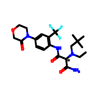 CCN(CC(C)(C)C)[C@@H](C(N)=O)C(=O)Nc1ccc(N2CCOCC2=O)cc1C(F)(F)F